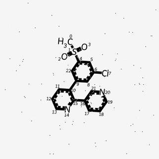 CS(=O)(=O)c1cc(Cl)cc(-c2cccnc2-c2cccnc2)c1